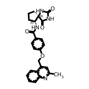 Cc1cc(COc2ccc(C(=O)N[C@@H]3CCC[C@@]34NC(=O)NC4=O)cc2)c2ccccc2n1